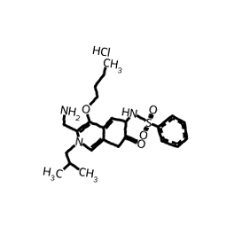 CCCCOC1=C(CN)N(CC(C)C)C=C2CC(=O)C(NS(=O)(=O)c3ccccc3)C=C21.Cl